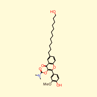 COc1cc(-c2oc3ccc(CCCCCCCCCCCCO)cc3c(=O)c2OC(=O)N(C)C)ccc1O